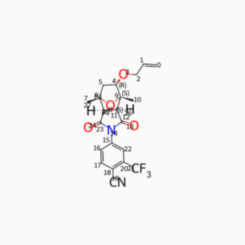 C=CCO[C@@H]1C[C@]2(C)O[C@@]1(C)[C@H]1C(=O)N(c3ccc(C#N)c(C(F)(F)F)c3)C(=O)[C@H]12